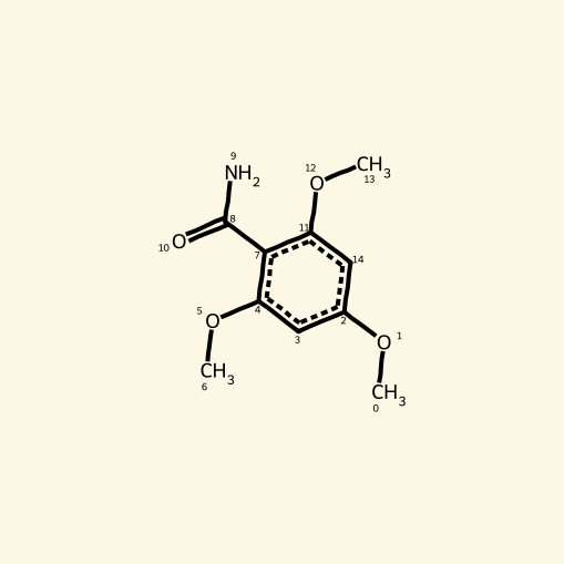 COc1cc(OC)c(C(N)=O)c(OC)c1